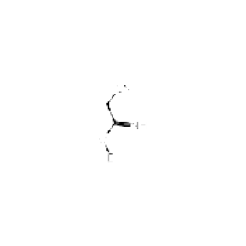 CCOC(=N)CC#N